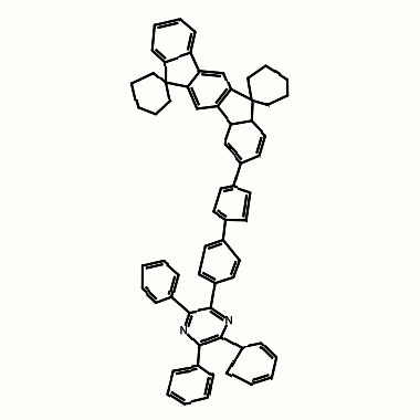 C1=CCC(c2nc(-c3ccc(-c4ccc(C5=CC6c7cc8c(cc7C7(CCCCC7)C6C=C5)-c5ccccc5C85CCCCC5)cc4)cc3)c(-c3ccccc3)nc2-c2ccccc2)C=C1